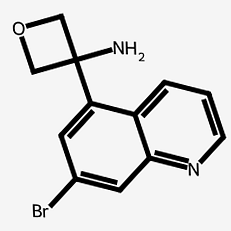 NC1(c2cc(Br)cc3ncccc23)COC1